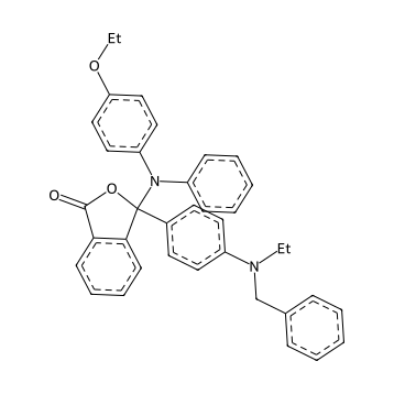 CCOc1ccc(N(c2ccccc2)C2(c3ccc(N(CC)Cc4ccccc4)cc3)OC(=O)c3ccccc32)cc1